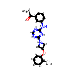 CNC(=O)c1cccc(Nc2ncnc(N3CC(Oc4ccccc4C(F)(F)F)C3)n2)c1